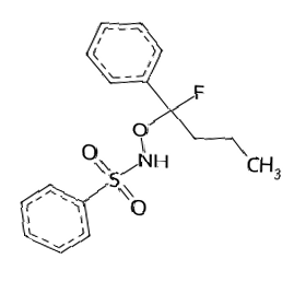 CCCC(F)(ONS(=O)(=O)c1ccccc1)c1ccccc1